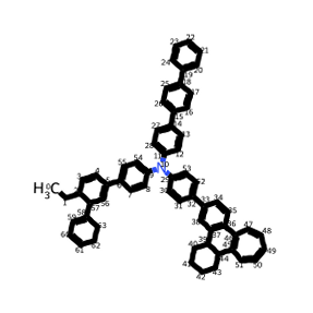 CCC1C=CC(c2ccc(N(c3ccc(-c4ccc(-c5ccccc5)cc4)cc3)c3ccc(-c4ccc5c(c4)C4CCCCC4C4=C5C=CC=C=C4)cc3)cc2)=CC1C1=CC=CCC1